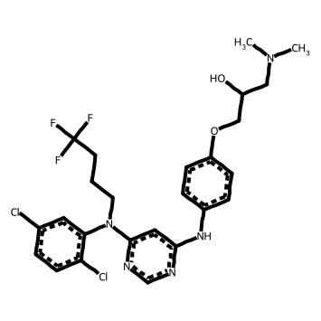 CN(C)CC(O)COc1ccc(Nc2cc(N(CCCC(F)(F)F)c3cc(Cl)ccc3Cl)ncn2)cc1